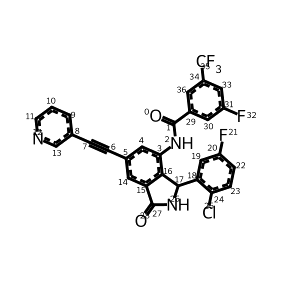 O=C(Nc1cc(C#Cc2cccnc2)cc2c1C(c1cc(F)ccc1Cl)NC2=O)c1cc(F)cc(C(F)(F)F)c1